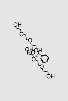 O=C(O)c1ccccc1.OCCOCCOCCO.OCCOCCOCCO